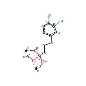 CCCO[Si](CCCc1ccc(F)c(F)c1)(OCCC)OCCC